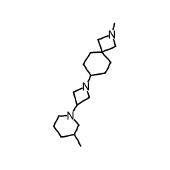 CC1CCCN(C2CN(C3CCC4(CC3)CN(C)C4)C2)C1